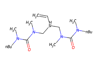 C=C[SiH](CN(C)C(=O)N(C)CCCC)CN(C)C(=O)N(C)CCCC